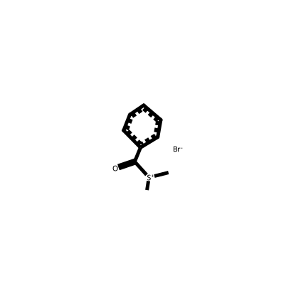 C[S+](C)C(=O)c1ccccc1.[Br-]